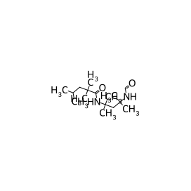 CC(C)CC(C)(C)C(=O)NC(C)(C)CC(C)(C)NC=O